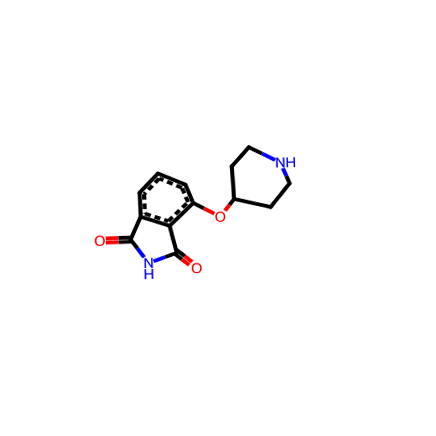 O=C1NC(=O)c2c(OC3CCNCC3)cccc21